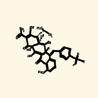 CN(C)[C@H]1C(O)=C(C(N)=O)C(=O)[C@@]2(O)C(O)=C3C(=O)c4c(O)cccc4/C(=C\c4ccc(C(F)(F)F)cc4)[C@H]3[C@H](O)[C@H]12